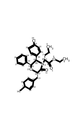 CCC[C@H](C(=O)OCC)N1C(=O)[C@H](CC2=CCC(I)C=C2)O[C@@H](c2ccccc2)[C@H]1c1ccc(Cl)cc1